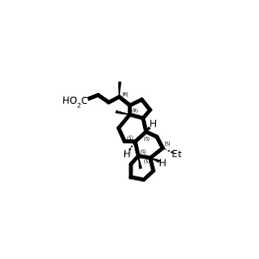 CC[C@H]1C[C@H]2C3CCC([C@H](C)CCC(=O)O)[C@@]3(C)CC[C@@H]2[C@@]2(C)CCCC[C@@H]12